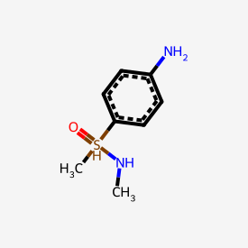 CN[SH](C)(=O)c1ccc(N)cc1